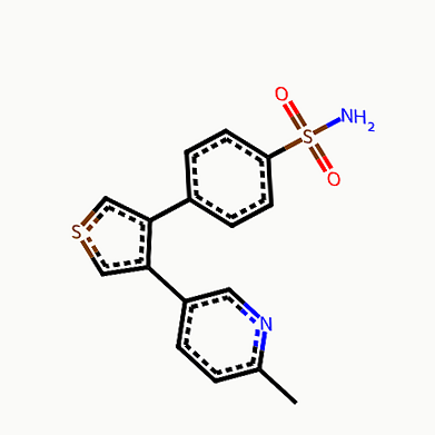 Cc1ccc(-c2cscc2-c2ccc(S(N)(=O)=O)cc2)cn1